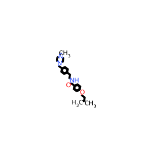 CC(C)CCOc1ccc(C(=O)NCCc2ccc(CN3CCN(C)CC3)cc2)cc1